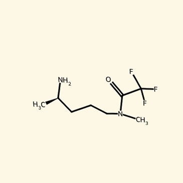 C[C@@H](N)CCCN(C)C(=O)C(F)(F)F